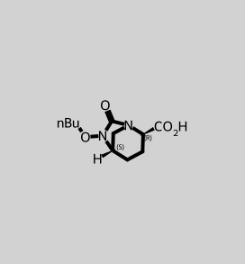 CCCCON1C(=O)N2C[C@@H]1CC[C@@H]2C(=O)O